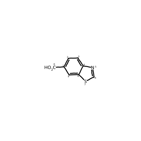 O=C(O)c1ccc2n[c]sc2c1